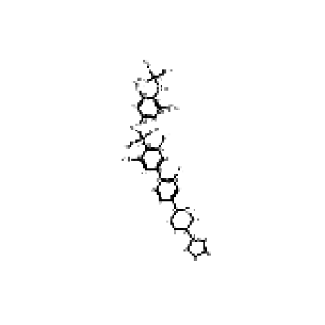 Fc1cc(C2CCC(C3CCCC3)CO2)ccc1-c1cc(F)c(C(F)(F)Oc2cc(F)c(OC(F)(F)F)c(F)c2)c(F)c1